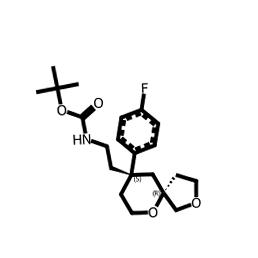 CC(C)(C)OC(=O)NCC[C@]1(c2ccc(F)cc2)CCO[C@@]2(CCOC2)C1